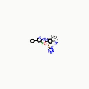 CN(C)Cc1cc(Sc2nnnn2C)c(C(=O)Nc2ncc(C3CCCC3)cc2F)cc1[N+](=O)[O-]